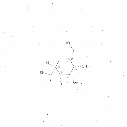 CC1(Cl)[C@@H]2[C@@H](O)[C@@H](O)[C@@H](CO)O[C@@H]21